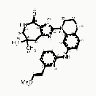 COC=Cc1cccc(Nc2ccc3c(c2)N(c2nc4c(s2)C(=O)NCC(C)(C)C4)CCO3)n1